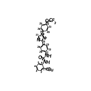 CC(C)(C)c1ccccc1NC(=O)Nc1ccc(-c2ncn(-c3ccc(OC(F)(F)F)cc3)n2)cc1